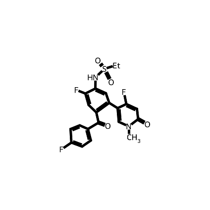 CCS(=O)(=O)Nc1cc(-c2cn(C)c(=O)cc2F)c(C(=O)c2ccc(F)cc2)cc1F